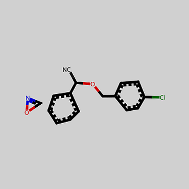 C1=NO1.N#CC(OCc1ccc(Cl)cc1)c1ccccc1